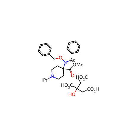 COC(=O)C1(N(OCc2ccccc2)C(C)=O)CCN(C(C)C)CC1.O=C(O)CC(O)(CC(=O)O)C(=O)O.c1ccccc1